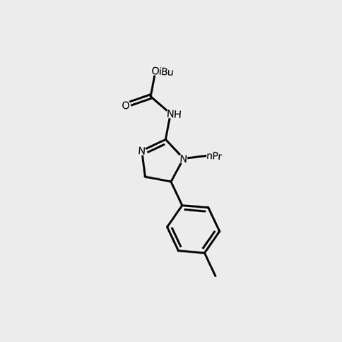 CCCN1C(NC(=O)OCC(C)C)=NCC1c1ccc(C)cc1